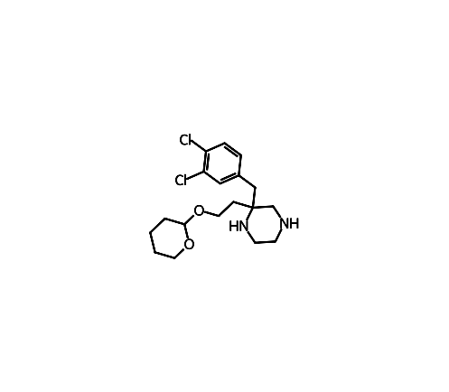 Clc1ccc(CC2(CCOC3CCCCO3)CNCCN2)cc1Cl